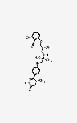 CC1CC(=O)NN=C1c1ccc(NCC(C)(C)NCC(O)COc2cccc(Cl)c2C#N)cc1